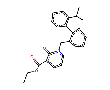 CCOC(=O)c1cccn(Cc2ccccc2-c2ccccc2C(C)C)c1=O